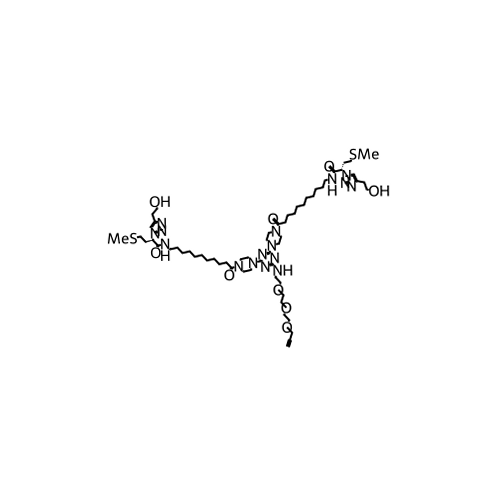 C#CCOCCOCCOCCNc1nc(N2CCN(C(=O)CCCCCCCCCCNC(=O)[C@@H](CCSC)n3cc(CCO)nn3)CC2)nc(N2CCN(C(=O)CCCCCCCCCCNC(=O)[C@H](CCSC)n3cc(CCO)nn3)CC2)n1